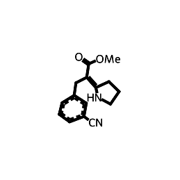 COC(=O)C(Cc1cccc(C#N)c1)=C1CCCN1